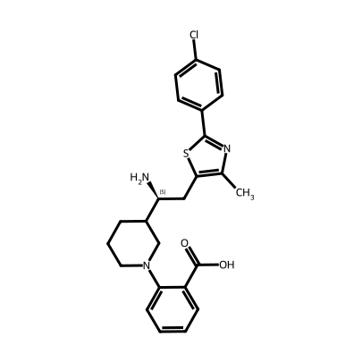 Cc1nc(-c2ccc(Cl)cc2)sc1C[C@H](N)C1CCCN(c2ccccc2C(=O)O)C1